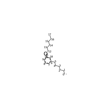 [CH2]CCCCCc1cccc(OCCCCCC)c1